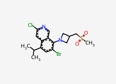 CC(C)c1cc(Br)c(N2CC(CS(C)(=O)=O)C2)c2cnc(Cl)cc12